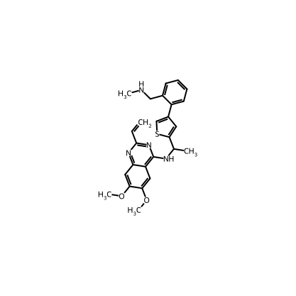 C=Cc1nc(NC(C)c2cc(-c3ccccc3CNC)cs2)c2cc(OC)c(OC)cc2n1